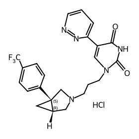 Cl.O=c1[nH]c(=O)n(CCCN2C[C@@H]3C[C@]3(c3ccc(C(F)(F)F)cc3)C2)cc1-c1cccnn1